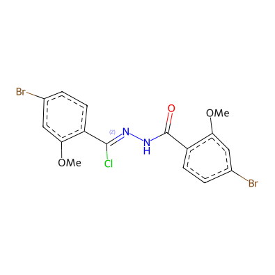 COc1cc(Br)ccc1C(=O)N/N=C(\Cl)c1ccc(Br)cc1OC